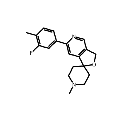 Cc1ccc(-c2cc3c(cn2)COC32CCN(C)CC2)cc1F